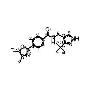 Cc1nc(-c2ccc(C(=O)NCc3c[nH]nc3C(C)(C)C)cc2)oc1C